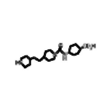 O=C(N[C@H]1CC[C@H](C(=O)O)CC1)N1CCC(CCC2CCNCC2)CC1